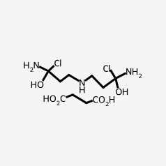 NC(O)(Cl)CCNCCC(N)(O)Cl.O=C(O)CCC(=O)O